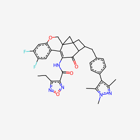 CCc1nonc1C(=O)NC1=C2c3cc(F)c(F)cc3OCC23CC32CC(Cc3ccc(-c4c(C)nn(C)c4C)cc3)C2C1=O